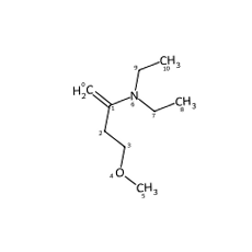 C=C(CCOC)N(CC)CC